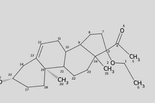 CCOC1(C(C)=O)CCC2C3CC=C4C[C@@H](O)CC[C@]4(C)C3CCC21C